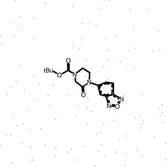 CC(C)(C)OC(=O)N1CCN(c2ccc3nonc3c2)C(=O)C1